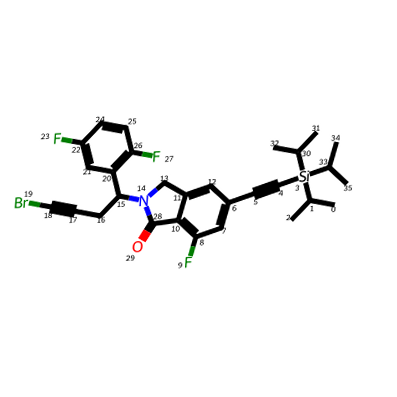 CC(C)[Si](C#Cc1cc(F)c2c(c1)CN(C(CC#CBr)c1cc(F)ccc1F)C2=O)(C(C)C)C(C)C